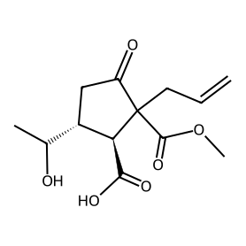 C=CCC1(C(=O)OC)C(=O)C[C@@H](C(C)O)[C@@H]1C(=O)O